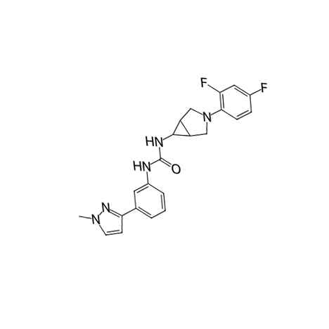 Cn1ccc(-c2cccc(NC(=O)NC3C4CN(c5ccc(F)cc5F)CC43)c2)n1